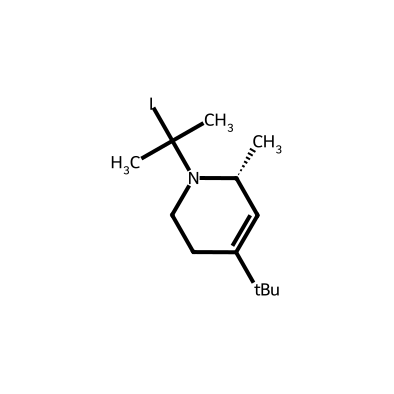 C[C@@H]1C=C(C(C)(C)C)CCN1C(C)(C)I